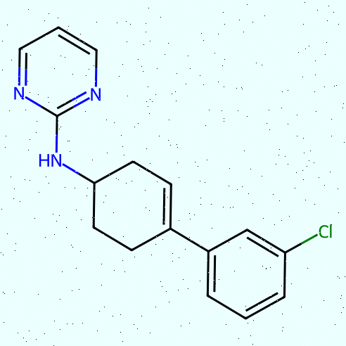 Clc1cccc(C2=CCC(Nc3ncccn3)CC2)c1